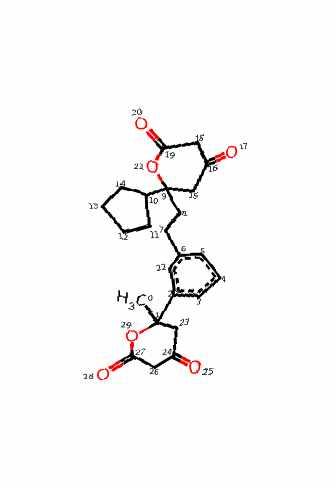 CC1(c2cccc(CCC3(C4CCCC4)CC(=O)CC(=O)O3)c2)CC(=O)CC(=O)O1